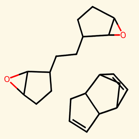 C(CC1CCC2OC12)C1CCC2OC12.C1=CC2C3C=CC(C3)C2C1